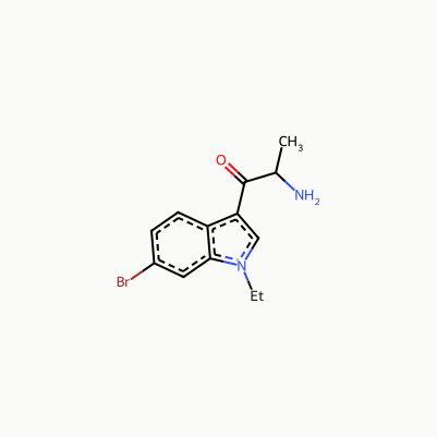 CCn1cc(C(=O)C(C)N)c2ccc(Br)cc21